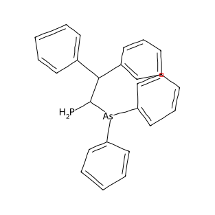 PC(C(c1ccccc1)c1ccccc1)[As](c1ccccc1)c1ccccc1